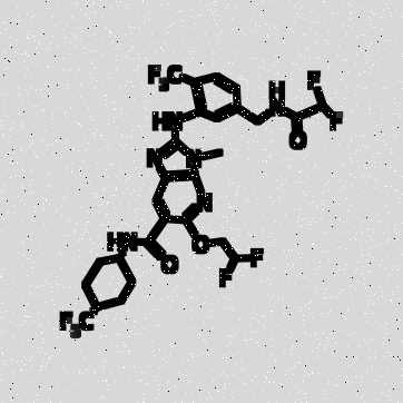 Cn1c(Nc2cc(CNC(=O)C(F)F)ccc2C(F)(F)F)nc2cc(C(=O)N[C@H]3CC[C@H](C(F)(F)F)CC3)c(OCC(F)F)nc21